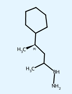 CC(BN)C[C@@H](C)C1CCCCC1